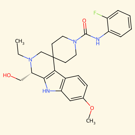 CCN1CC2(CCN(C(=O)Nc3ccccc3F)CC2)c2c([nH]c3cc(OC)ccc23)[C@@H]1CO